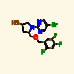 Fc1cc(F)c(COCC2CC(S)CN2c2ncc(Br)cn2)cc1F